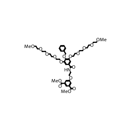 COCCOCCOCCOCCOc1cc(C(=O)NCCOc2cc(C(=O)OC)cc(C(=O)OC)c2)cc(OCCOCCOCCOCCOC)c1OCc1ccccc1